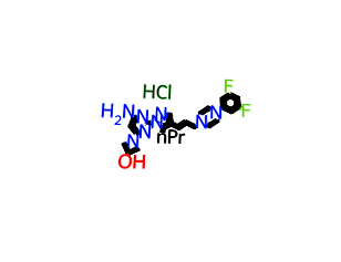 CCCc1c(C=CCN2CCN(c3cc(F)cc(F)c3)CC2)cnn1-c1nc(N)cc(N2CC(O)C2)n1.Cl